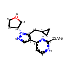 CSc1nccc(-c2cnn([C@@H]3CCOC3)c2CC2CC2)n1